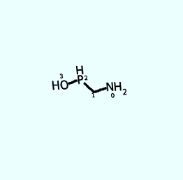 NCPO